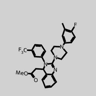 COC(=O)CC1c2ccccc2N=C(N2CCN(c3ccc(F)c(C)c3)CC2)N1c1cccc(C(F)(F)F)c1